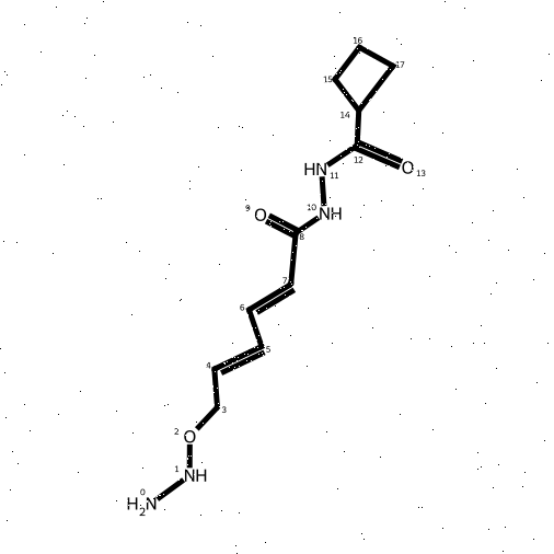 NNOC/C=C/C=C/C(=O)NNC(=O)C1CCC1